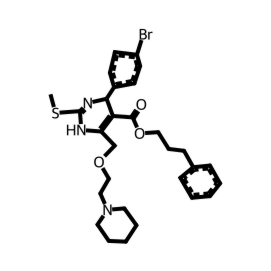 CSC1=NC(c2ccc(Br)cc2)C(C(=O)OCCCc2ccccc2)=C(COCCN2CCCCC2)N1